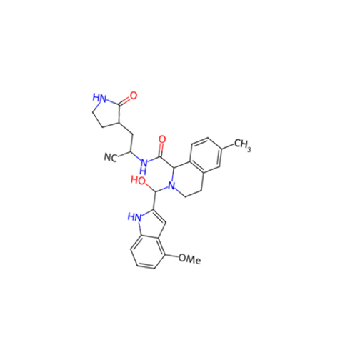 COc1cccc2[nH]c(C(O)N3CCc4cc(C)ccc4C3C(=O)NC(C#N)CC3CCNC3=O)cc12